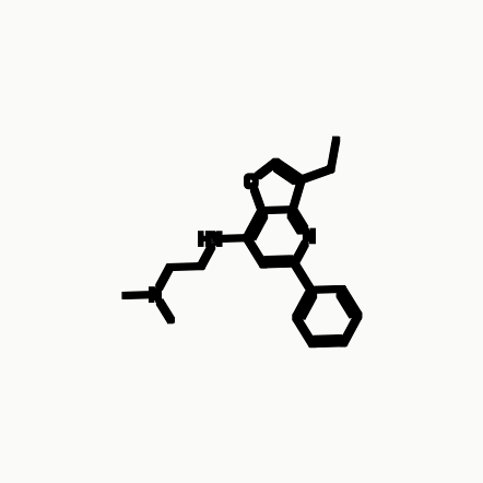 CCc1coc2c(NCCN(C)C)cc(-c3ccccc3)nc12